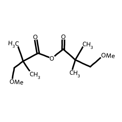 COCC(C)(C)C(=O)OC(=O)C(C)(C)COC